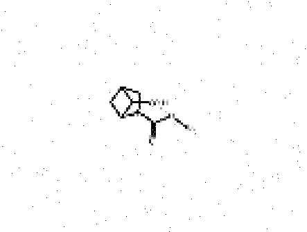 CC(C)(C)OC(=O)N1CC2CC1C2C(=O)O